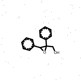 OCC1(c2ccccc2)OC1c1ccccc1